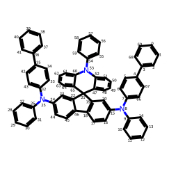 c1ccc(-c2ccc(N(c3ccccc3)c3ccc4c(c3)C3(c5cc(N(c6ccccc6)c6ccc(-c7ccccc7)cc6)ccc5-4)c4ccccc4N(c4ccccc4)c4ccccc43)cc2)cc1